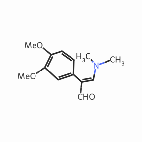 COc1ccc(/C(C=O)=C\N(C)C)cc1OC